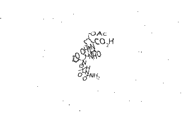 CC(=O)OCC1=C(C(=O)O)N2C(=O)[C@@H](NC(=O)C(=NOC(C)(C)C(=O)NC(N)=O)c3ccco3)[C@H]2SC1